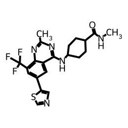 CNC(=O)C1CCC(Nc2nc(C)nc3c(C(F)(F)F)cc(-c4cncs4)cc23)CC1